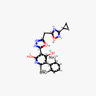 CCCCc1nc(O)c(-c2nnc(Cc3nc(C4CC4)no3)o2)c(O)c1-c1c(OC)cccc1OC